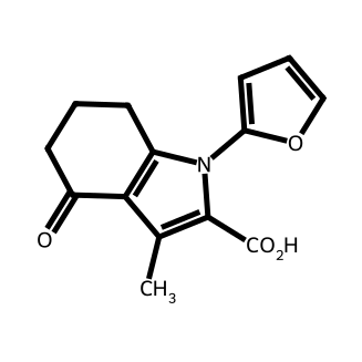 Cc1c2c(n(-c3ccco3)c1C(=O)O)CCCC2=O